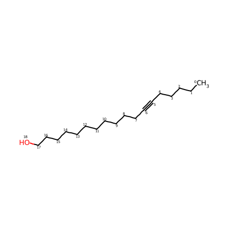 CCCCCC#CCCCCCCCCCCCO